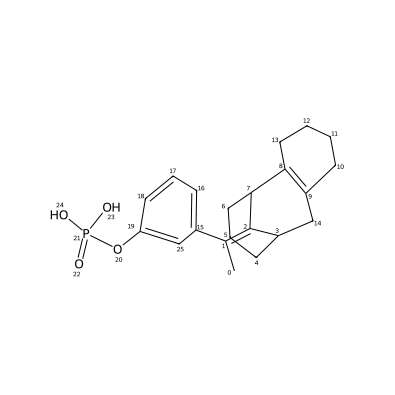 C/C(=C1\C2CCCC1C1=C(CCCC1)C2)c1cccc(OP(=O)(O)O)c1